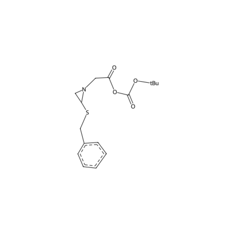 CC(C)(C)OC(=O)OC(=O)CN1CC1SCc1ccccc1